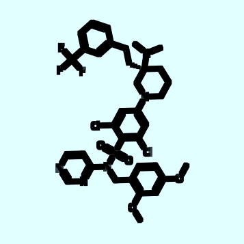 COc1ccc(CN(c2ccncn2)S(=O)(=O)c2c(Cl)cc(N3CCC[C@](CCc4cccc(C(F)(F)F)c4)(N(C)C)C3)cc2Cl)c(OC)c1